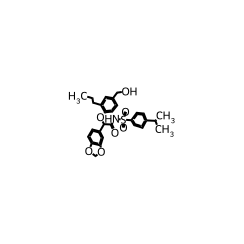 CCCc1cc(CO)ccc1OC(C(=O)NS(=O)(=O)c1ccc(C(C)C)cc1)c1ccc2c(c1)OCO2